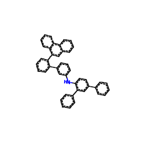 c1ccc(-c2ccc(Nc3cccc(-c4ccccc4-c4cc5ccccc5c5ccccc45)c3)c(-c3ccccc3)c2)cc1